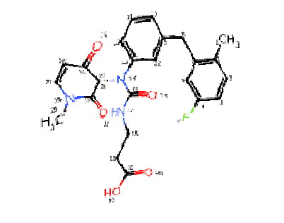 Cc1ccc(F)cc1Cc1cccc(N(C(=O)NCCC(=O)O)[C@H]2C(=O)C=CN(C)C2=O)c1